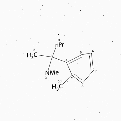 CCCC(C)(NC)c1ccccc1C